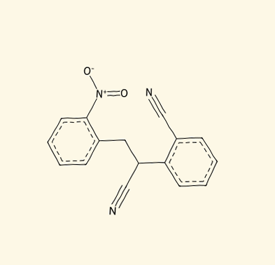 N#Cc1ccccc1C(C#N)Cc1ccccc1[N+](=O)[O-]